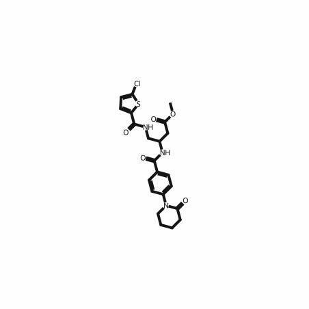 COC(=O)CC(CNC(=O)c1ccc(Cl)s1)NC(=O)c1ccc(N2CCCCC2=O)cc1